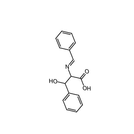 O=C(O)C(N=Cc1ccccc1)C(O)c1ccccc1